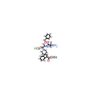 COC(=O)C1=CC2(CCN(C(=O)C(COCc3ccccc3)NC(=O)C(C)(C)N)CC2)c2ccccc21.Cl